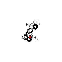 Cc1cccc(N2CCN(CC3(OS(C)(=O)=O)COCc4ccccc43)CC2)c1C